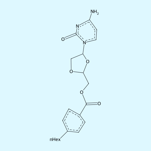 CCCCCCc1ccc(C(=O)OCC2OCC(n3ccc(N)nc3=O)O2)cc1